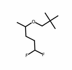 CC(CCC(F)F)OCC(C)(C)C